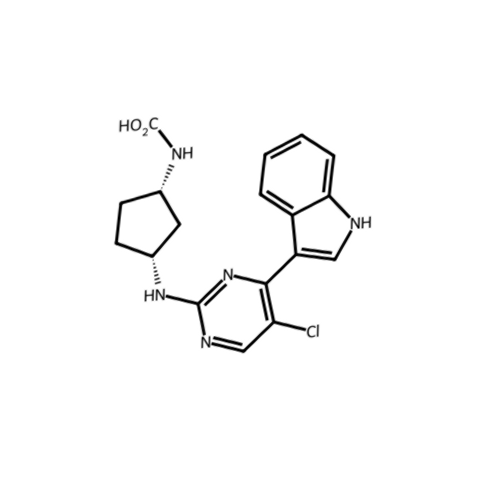 O=C(O)N[C@H]1CC[C@@H](Nc2ncc(Cl)c(-c3c[nH]c4ccccc34)n2)C1